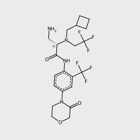 NC[C@@H](C(=O)Nc1ccc(N2CCOCC2=O)cc1C(F)(F)F)N(CC1CCC1)CC(F)(F)F